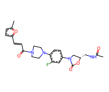 CC(=O)NC[C@H]1CN(c2ccc(N3CCN(C(=O)C=Cc4ccc(C)o4)CC3)c(F)c2)C(=O)O1